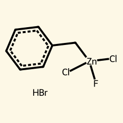 Br.[F][Zn]([Cl])([Cl])[CH2]c1ccccc1